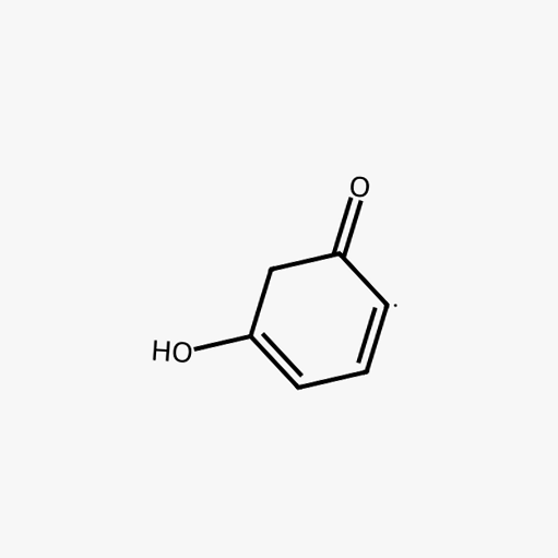 O=C1[C]=CC=C(O)C1